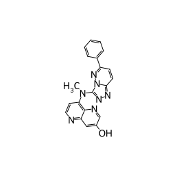 CN(c1ccnc2cc(O)cnc12)c1nnc2ccc(-c3ccccc3)nn12